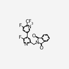 O=C1c2ccccc2C(=O)N1Cc1cc(-c2cnc(C(F)(F)F)c(F)c2)c(F)cn1